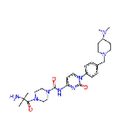 CN(C)C1CCN(Cc2ccc(-n3ccc(NC(=O)N4CCN(C(=O)C(C)(C)N)CC4)nc3=O)cc2)CC1